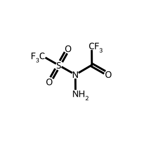 NN(C(=O)C(F)(F)F)S(=O)(=O)C(F)(F)F